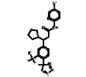 CC1(c2ccc(C(CC(=O)Nc3ccc(Br)cn3)C3CCCC3)cc2C(F)(F)F)N=NN=N1